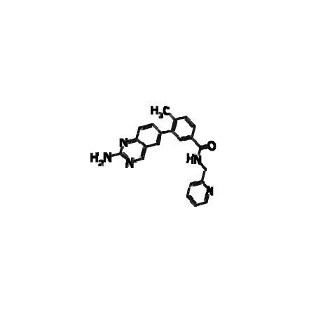 Cc1ccc(C(=O)NCc2ccccn2)cc1-c1ccc2nc(N)ncc2c1